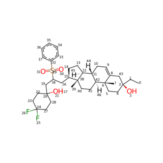 CC[C@]1(O)CC[C@@]2(C)C(=CC[C@H]3[C@@H]4CC[C@H]([C@H](C)C(CC5(O)CCC(F)(F)CC5)S(=O)(=O)c5ccccc5)[C@@]4(C)CC[C@@H]32)C1